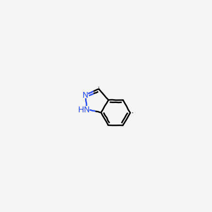 [c]1ccc2[nH]n[c]c2c1